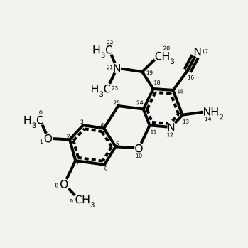 COc1cc2c(cc1OC)Oc1nc(N)c(C#N)c(C(C)N(C)C)c1C2